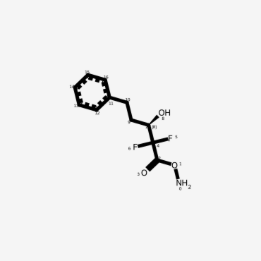 NOC(=O)C(F)(F)[C@H](O)CCc1ccccc1